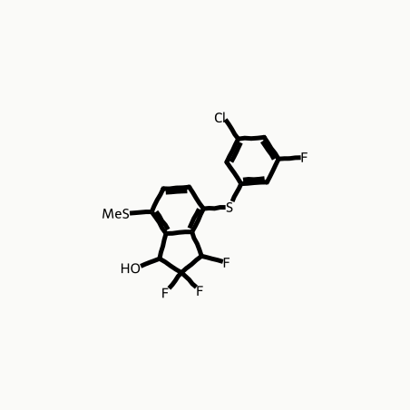 CSc1ccc(Sc2cc(F)cc(Cl)c2)c2c1C(O)C(F)(F)C2F